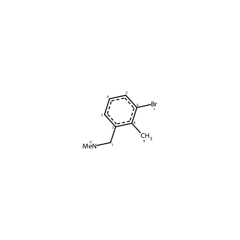 CNCc1cccc(Br)c1C